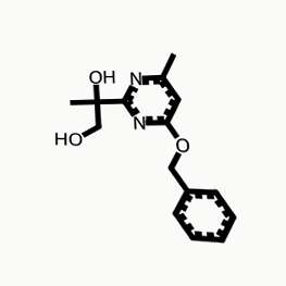 Cc1cc(OCc2ccccc2)nc(C(C)(O)CO)n1